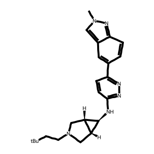 Cn1cc2cc(-c3ccc(N[C@H]4[C@@H]5CN(CCC(C)(C)C)C[C@@H]54)nn3)ccc2n1